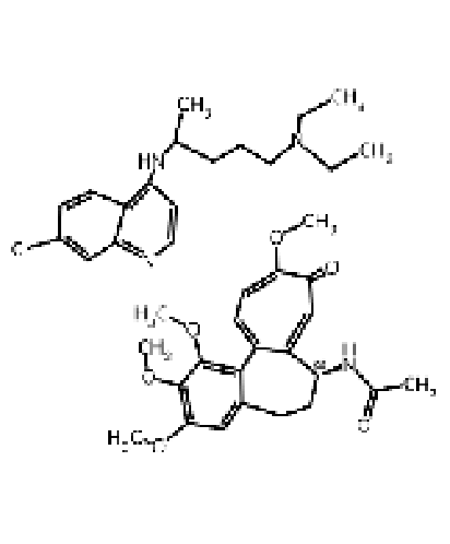 CCN(CC)CCCC(C)Nc1ccnc2cc(Cl)ccc12.COc1cc2c(c(OC)c1OC)-c1ccc(OC)c(=O)cc1[C@@H](NC(C)=O)CC2